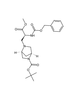 COC(=O)[C@H](CN1C[C@@H]2C[C@H]1CN2C(=O)OC(C)(C)C)NC(=O)OCc1ccccc1